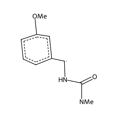 CNC(=O)N[CH]c1cccc(OC)c1